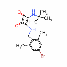 Cc1cc(Br)cc(C)c1CNc1c(NC(C)(C)C)c(=O)c1=O